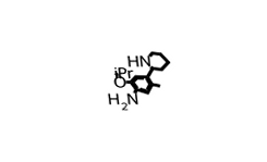 Cc1cc(N)c(OC(C)C)cc1C1CCCCN1